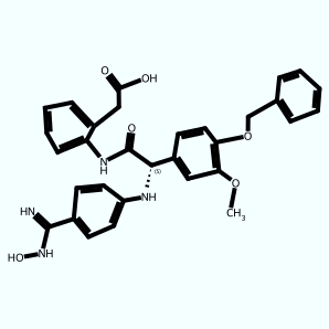 COc1cc([C@H](Nc2ccc(C(=N)NO)cc2)C(=O)Nc2ccccc2CC(=O)O)ccc1OCc1ccccc1